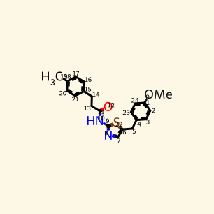 COc1ccc(Cc2cnc(NC(=O)CCc3ccc(C)cc3)s2)cc1